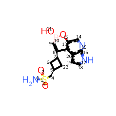 NS(=O)(=O)C[C@H]1C[C@@H](C2=CB(O)Oc3cnc4[nH]ccc4c32)C1